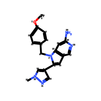 CC(C)Oc1ccc(Cn2c(-c3cnn(C)c3)cc3cnc(N)cc32)cc1